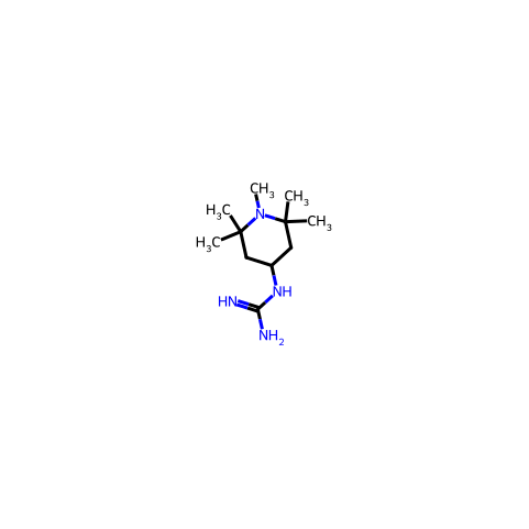 CN1C(C)(C)CC(NC(=N)N)CC1(C)C